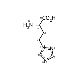 NC(CCn1cncn1)C(=O)O